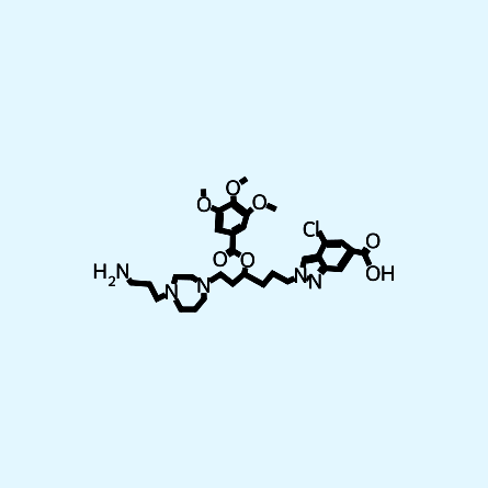 COc1cc(C(=O)OC(CCCn2cc3c(Cl)cc(C(=O)O)cc3n2)CCN2CCCN(CCCN)CC2)cc(OC)c1OC